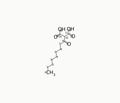 CCCCCCCCC(=O)C(C(=O)O)C(=O)O